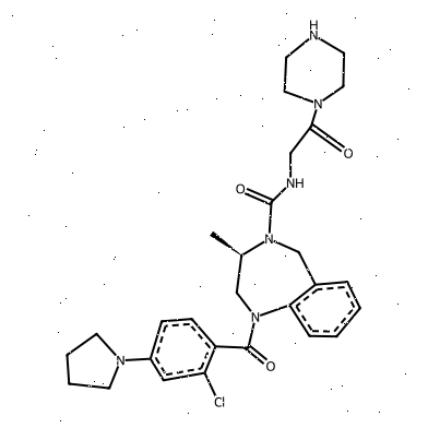 C[C@@H]1CN(C(=O)c2ccc(N3CCCC3)cc2Cl)c2ccccc2CN1C(=O)NCC(=O)N1CCNCC1